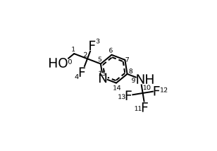 OCC(F)(F)c1ccc(NC(F)(F)F)cn1